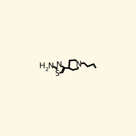 CCCCN1CCC(c2csc(N)n2)CC1